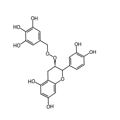 Oc1cc(O)c2c(c1)OC(c1ccc(O)c(O)c1)[C@H](OOCc1cc(O)c(O)c(O)c1)C2